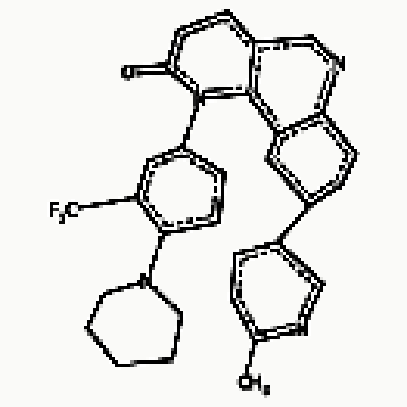 Cc1ccc(-c2ccc3ncc4ccc(=O)n(-c5ccc(N6CCCCC6)c(C(F)(F)F)c5)c4c3c2)cn1